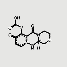 O=C(O)Oc1c2n(ccc1=O)N[C@@H]1COCCN1C2=O